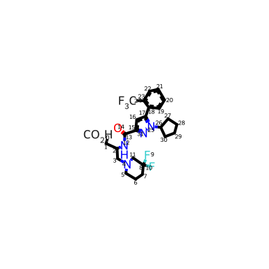 O=C(O)CC(CN1CCCC(F)(F)C1)NC(=O)c1cc(-c2ccccc2C(F)(F)F)n(C2CCCC2)n1